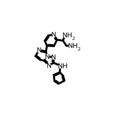 NCC(N)c1cc(-c2nccc3nc(Nc4ccccc4)nn23)ccn1